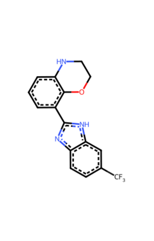 FC(F)(F)c1ccc2nc(-c3cccc4c3OCCN4)[nH]c2c1